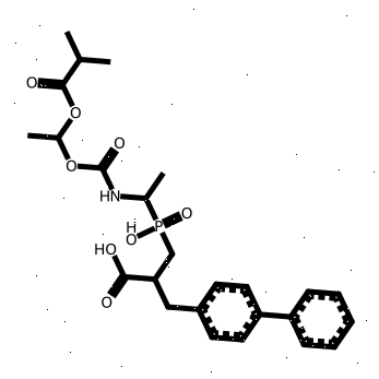 CC(OC(=O)NC(C)P(=O)(O)CC(Cc1ccc(-c2ccccc2)cc1)C(=O)O)OC(=O)C(C)C